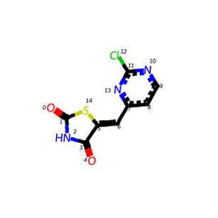 O=C1NC(=O)C(=Cc2ccnc(Cl)n2)S1